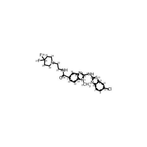 Cn1c(Nc2nc3ccc(Cl)cc3s2)nc2cc(C(=O)NCCN3CCC(F)(F)CC3)ccc21